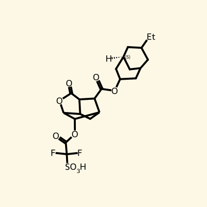 CCC1CC2CC(OC(=O)C3C4CC5C(OC(=O)C53)C4OC(=O)C(F)(F)S(=O)(=O)O)C[C@@H](C1)C2